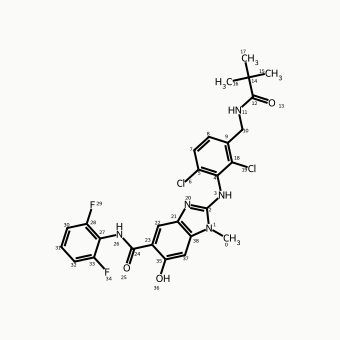 Cn1c(Nc2c(Cl)ccc(CNC(=O)C(C)(C)C)c2Cl)nc2cc(C(=O)Nc3c(F)cccc3F)c(O)cc21